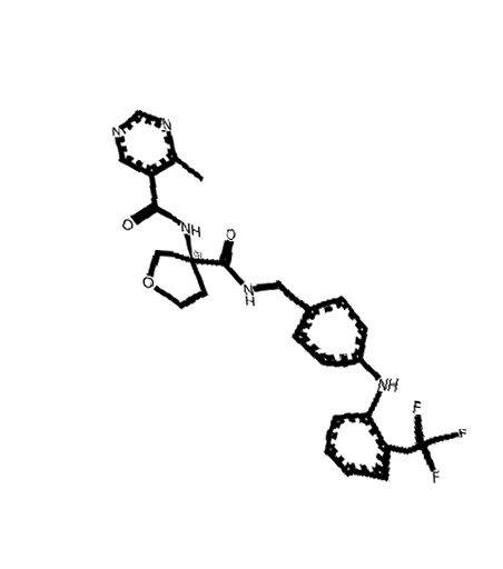 Cc1ncncc1C(=O)N[C@@]1(C(=O)NCc2ccc(Nc3ccccc3C(F)(F)F)cc2)CCOC1